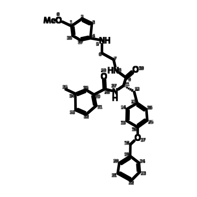 COc1ccc(NCCNC(=O)[C@H](Cc2ccc(OCc3ccccc3)cc2)NC(=O)c2cccc(C)c2)cc1